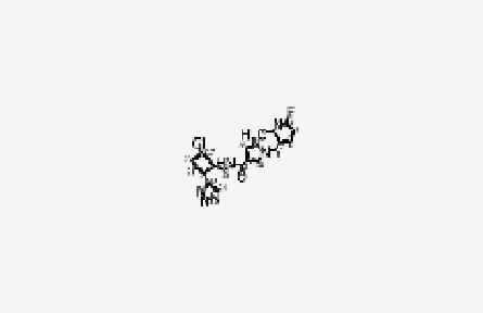 Cc1nc(F)ccc1Cn1cc(C(=O)NCc2cc(Cl)ccc2-n2cnnn2)cn1